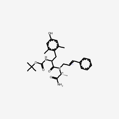 Cc1cc(O)cc(C)c1CC(NC(=O)OC(C)(C)C)C(=O)N(C/C=C/c1ccccc1)[C@H](C)C(N)=O